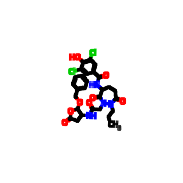 CCCN1C(=O)CCC(NC(=O)c2cc(Cl)c(O)c(Cl)c2)C(=O)N1CC(=O)NC1CC(=O)OC1OCc1ccccc1